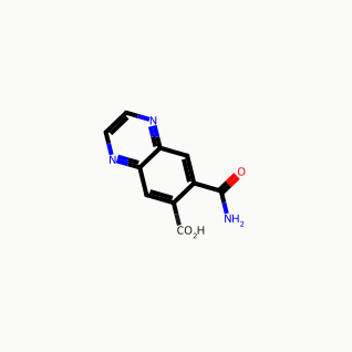 NC(=O)c1cc2nccnc2cc1C(=O)O